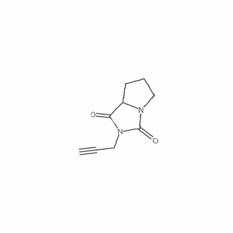 C#CCN1C(=O)C2CCCN2C1=O